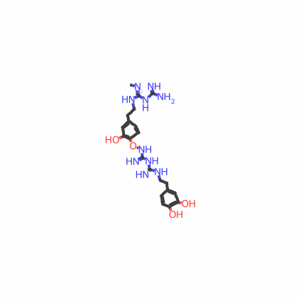 C/N=C(\NCCc1ccc(ONC(=N)NC(=N)NCCc2ccc(O)c(O)c2)c(O)c1)NC(=N)N